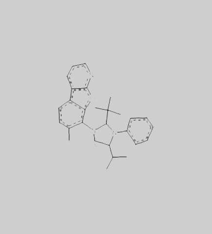 Cc1ccc2c(oc3ncccc32)c1N1C(C(C)(C)C)N(c2ccccc2)C(C(C)C)[C@@H]1C